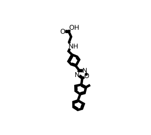 Cc1cc(-c2ccccc2)ccc1-c1nc(-c2ccc(CNCCC(=O)O)cc2)no1